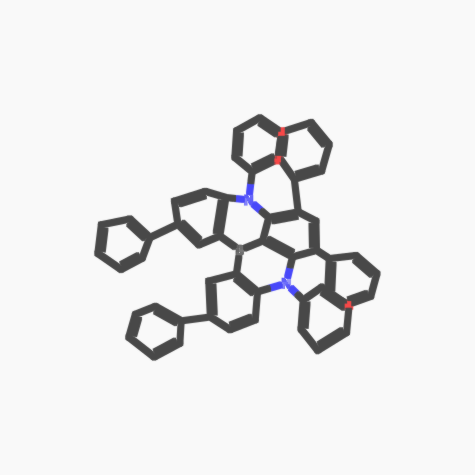 c1ccc(-c2ccc3c(c2)B2c4cc(-c5ccccc5)ccc4N(c4ccccc4)c4c(-c5ccccc5)cc(-c5ccccc5)c(c42)N3c2ccccc2)cc1